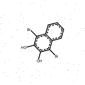 Oc1c(O)c(Br)c2ccccc2c1Br